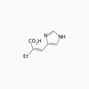 CCC(=Cc1c[nH]cn1)C(=O)O